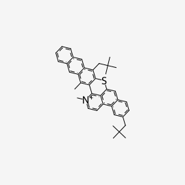 Cc1c2c(c(CC(C)(C)C)c3cc4ccccc4cc13)Sc1cc3ccc(CC(C)(C)C)cc3c3cc[n+](C)c-2c13